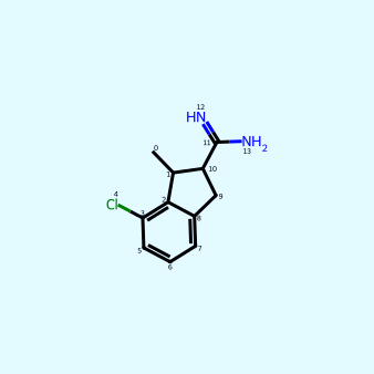 CC1c2c(Cl)cccc2CC1C(=N)N